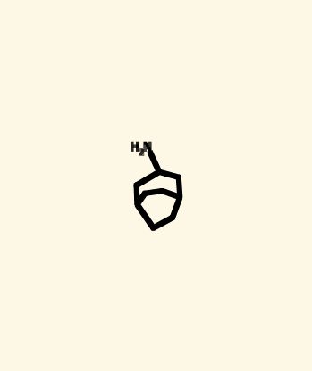 NC1CC2CCC(CC2)C1